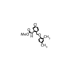 COC(=O)Nc1cc(Cl)ccc1COc1ccc(C)cc1C